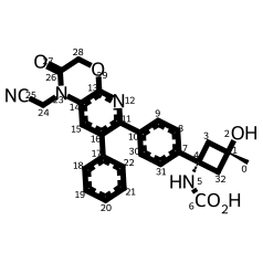 C[C@]1(O)C[C@](NC(=O)O)(c2ccc(-c3nc4c(cc3-c3ccccc3)N(CC#N)C(=O)CO4)cc2)C1